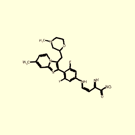 Cc1ccn2c(CC3CN(C)CCO3)c(-c3c(F)cc(N/C=C\C(=N)C(=O)N=O)cc3F)nc2c1